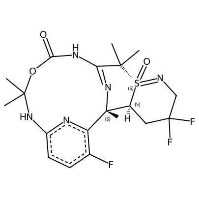 CC1(C)Nc2ccc(F)c(n2)[C@]2(C)N=C(NC(=O)O1)C(C)(C)[S@]1(=O)=NCC(F)(F)C[C@@H]21